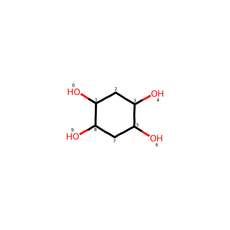 OC1CC(O)C(O)CC1O